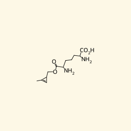 CC1=CC1COC(=O)C(N)CCCC(N)C(=O)O